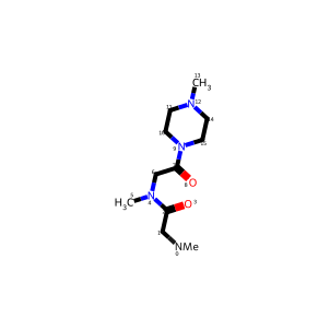 CNCC(=O)N(C)CC(=O)N1CCN(C)CC1